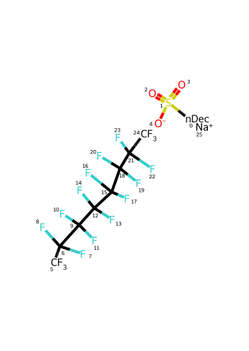 CCCCCCCCCCS(=O)(=O)[O-].FC(F)(F)C(F)(F)C(F)(F)C(F)(F)C(F)(F)C(F)(F)C(F)(F)C(F)(F)F.[Na+]